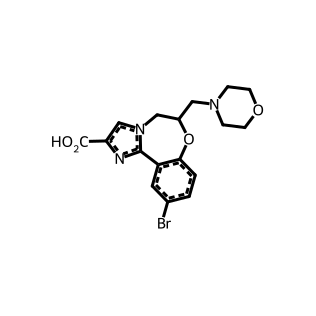 O=C(O)c1cn2c(n1)-c1cc(Br)ccc1OC(CN1CCOCC1)C2